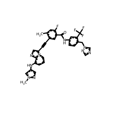 Cc1cc(F)c(C(=O)Nc2ccc(Cn3cncn3)c(C(F)(F)F)c2)cc1C#Cc1cnc2c(Nc3cnn(C)c3)cccn12